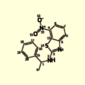 CC(Nc1nc2cccc([N+](=O)[O-])c2s1)c1ccccc1